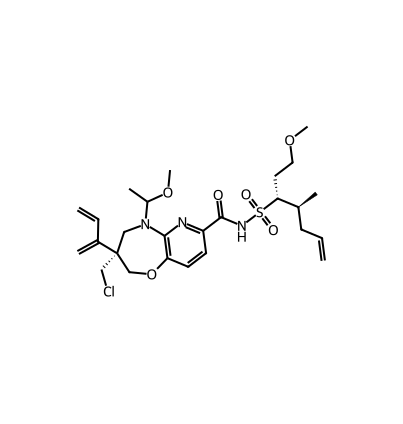 C=CC[C@H](C)[C@@H](CCOC)S(=O)(=O)NC(=O)c1ccc2c(n1)N(C(C)OC)C[C@](CCl)(C(=C)C=C)CO2